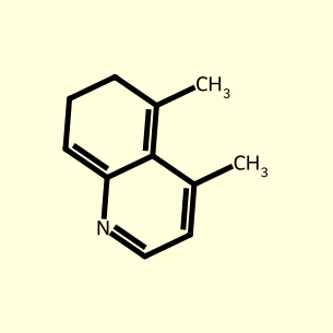 CC1=c2c(C)ccnc2=CCC1